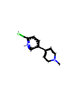 CN1CC=C(c2ccc(Cl)nc2)CC1